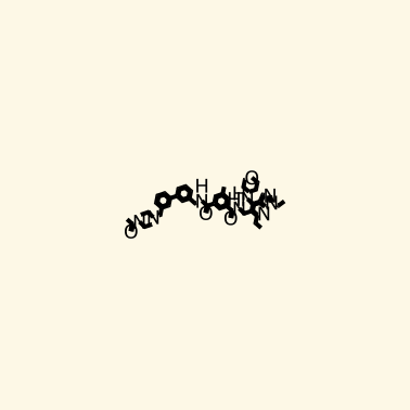 CCc1nc2c(cnn2CC)c(NC2CCOCC2)c1CNC(=O)c1cc(C)cc(C(=O)NCc2cccc(-c3cccc(CN4CCN(C(C)=O)CC4)c3)c2)c1